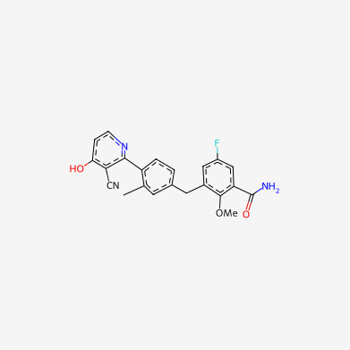 COc1c(Cc2ccc(-c3nccc(O)c3C#N)c(C)c2)cc(F)cc1C(N)=O